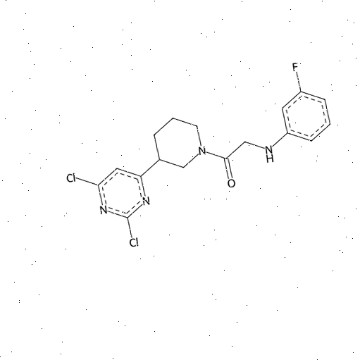 O=C(CNc1cccc(F)c1)N1CCCC(c2cc(Cl)nc(Cl)n2)C1